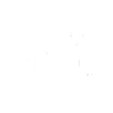 CC(=O)Nc1ccc(-c2ccnc(Nc3ccc(N4CCC5(CC4)OCCO5)cc3)n2)cc1